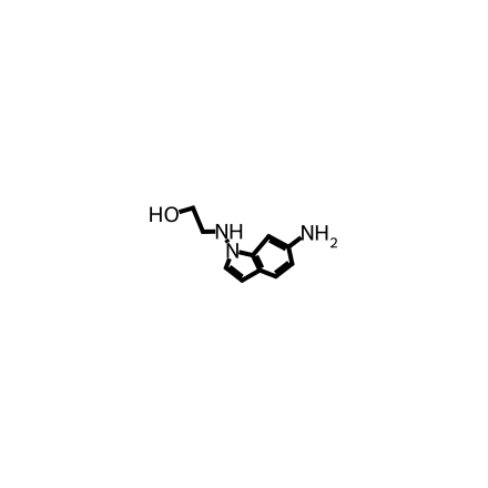 Nc1ccc2ccn(NCCO)c2c1